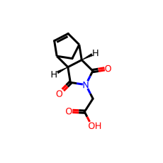 O=C(O)CN1C(=O)[C@@H]2C3C=CC(C3)[C@@H]2C1=O